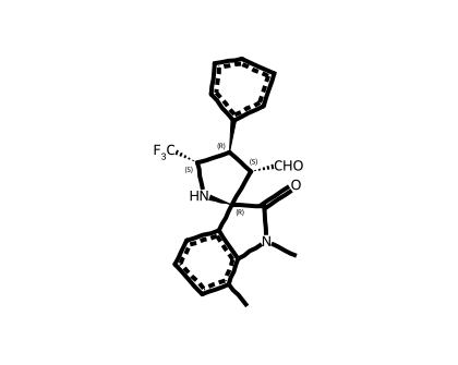 Cc1cccc2c1N(C)C(=O)[C@]21N[C@H](C(F)(F)F)[C@@H](c2ccccc2)[C@@H]1C=O